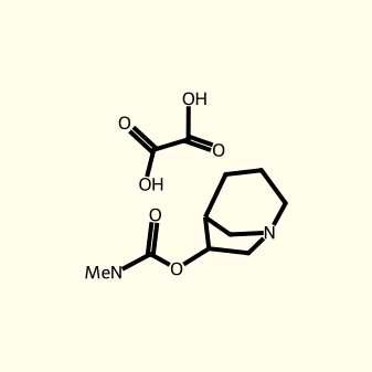 CNC(=O)OC1CN2CCCC1C2.O=C(O)C(=O)O